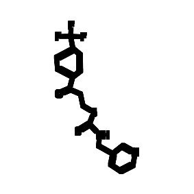 O=C(CCSC(=S)NCc1cccnc1)c1ccc(C(F)(F)F)cc1